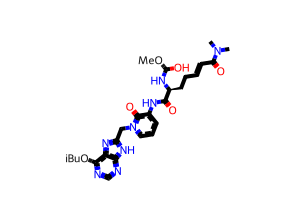 COC(O)N[C@@H](CC/C=C/C(=O)N(C)C)C(=O)Nc1cccn(Cc2nc3c(OCC(C)C)ncnc3[nH]2)c1=O